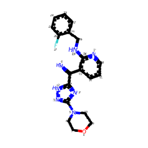 N=C(c1nc(N2CCOCC2)n[nH]1)c1cccnc1NCc1ccccc1F